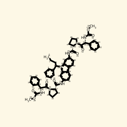 CCCC(c1ccccc1)n1c2cc(NC(=O)[C@@H]3CCCN3C(=O)[C@H](NC(=O)OC)c3ccccc3)ccc2c2ccc(NC(=O)[C@@H]3CCCN3C(=O)[C@H](NC(=O)OC)c3ccccc3)cc21